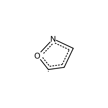 [c]1ccno1